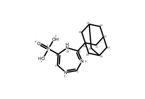 O=P(O)(O)C1=CN=CN=C(C23CC4CC(CC(C4)C2)C3)N1